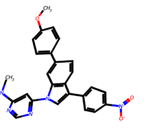 CNc1cc(-n2cc(-c3ccc([N+](=O)[O-])cc3)c3ccc(-c4ccc(OC)cc4)cc32)ncn1